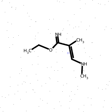 CCOC(=N)/C(C)=C/NC